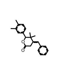 Cc1ccc(C2OC(=O)C/C(=C\c3ccccc3)C2(C)C)cc1C